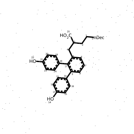 CCCCCCCCCCCCC(Cc1cccc(-c2ccc(O)cc2)c1-c1ccc(O)cc1)C(=O)O